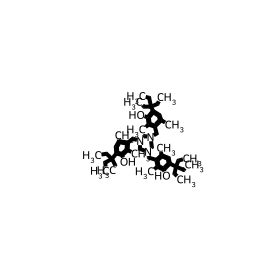 CCC(CC)(CC)c1cc(C)c(CN2CN(Cc3c(C)cc(C(CC)(CC)CC)c(O)c3C)CN(Cc3c(C)cc(C(CC)(CC)CC)c(O)c3C)C2)c(C)c1O